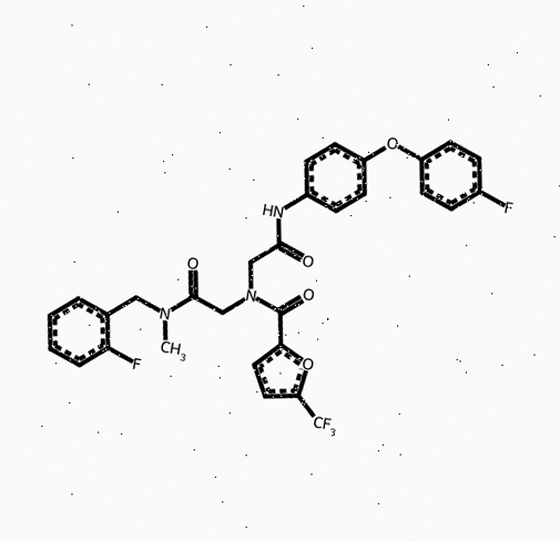 CN(Cc1ccccc1F)C(=O)CN(CC(=O)Nc1ccc(Oc2ccc(F)cc2)cc1)C(=O)c1ccc(C(F)(F)F)o1